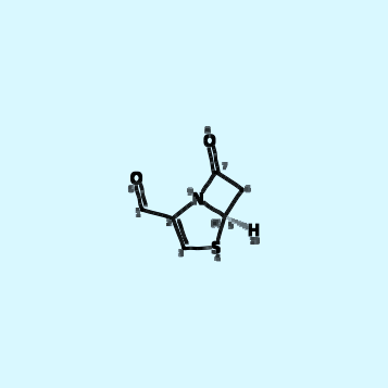 O=[C]C1=CS[C@@H]2CC(=O)N12